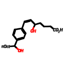 CCCCCCCCC(O)c1ccc(/C=C\C(O)CCCC(=O)O)cc1